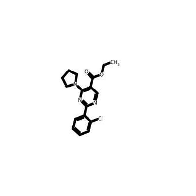 CCOC(=O)c1cnc(-c2ccccc2Cl)nc1N1CCCC1